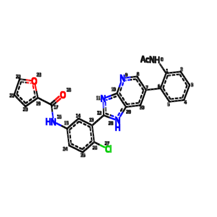 CC(=O)Nc1ccccc1-c1cnc2nc(-c3cc(NC(=O)c4ccco4)ccc3Cl)[nH]c2c1